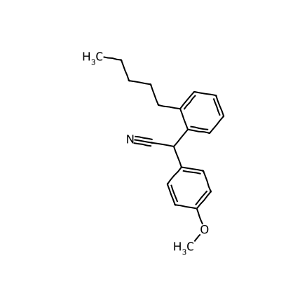 CCCCCc1ccccc1C(C#N)c1ccc(OC)cc1